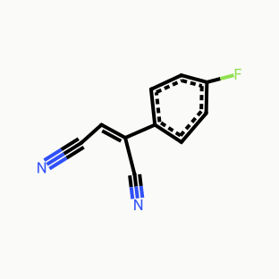 N#C/C=C(\C#N)c1ccc(F)cc1